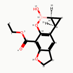 CCOC(=O)c1c2c(cc3c1OB(O)[C@H]1C[C@@H]31)CCO2